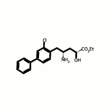 CCOC(=O)[C@H](O)C[C@H](N)Cc1ccc(-c2ccccc2)cc1Cl